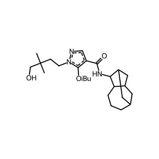 CC(C)COc1c(C(=O)NC2C3CC4CCCC2C(C4)C3)cnn1CCC(C)(C)CO